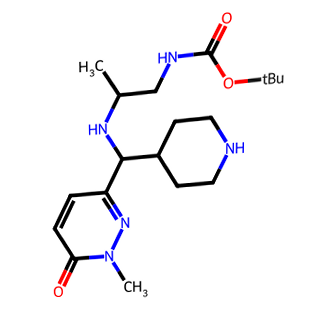 CC(CNC(=O)OC(C)(C)C)NC(c1ccc(=O)n(C)n1)C1CCNCC1